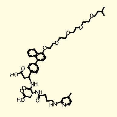 Cc1ccnc(NCCCC(=O)N[C@@H](CC(=O)O)C(=O)N[C@@H](CC(=O)O)c2ccc(-c3ccc(OCCOCCOCCOCCOCCC(C)C)c4ccccc34)cc2)c1